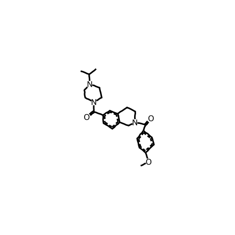 COc1ccc(C(=O)N2CCc3cc(C(=O)N4CCN(C(C)C)CC4)ccc3C2)cc1